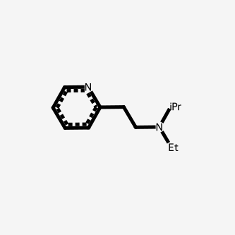 CCN(CCc1ccccn1)C(C)C